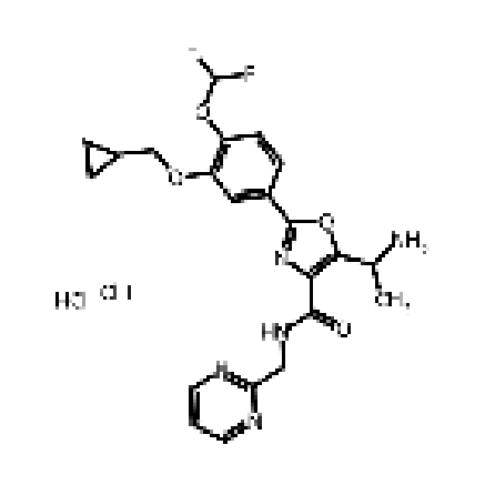 CC(N)c1oc(-c2ccc(OC(F)F)c(OCC3CC3)c2)nc1C(=O)NCc1ncccn1.Cl.Cl